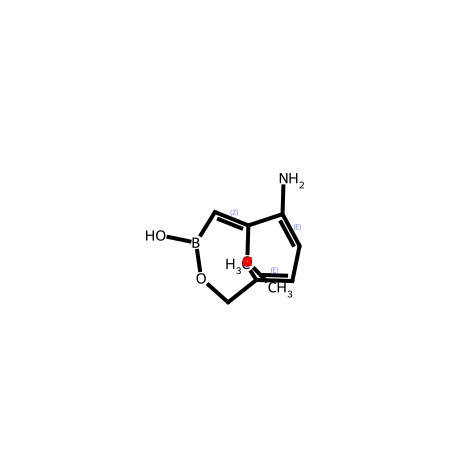 COC1=C\B(O)OC/C(C)=C/C=C\1N